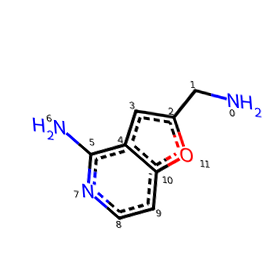 NCc1cc2c(N)nccc2o1